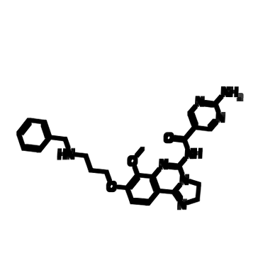 COc1c(OCCCNCc2ccccc2)ccc2c1N=C(NC(=O)c1cnc(N)nc1)N1CCN=C21